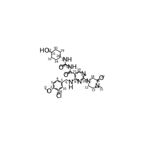 COc1ccc(CNc2nc(N3CCN(C)C(=O)C3)ncc2C(=O)NC(=O)N[C@H]2CC[C@H](O)CC2)cc1Cl